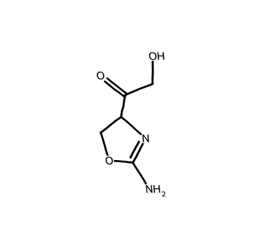 NC1=NC(C(=O)CO)CO1